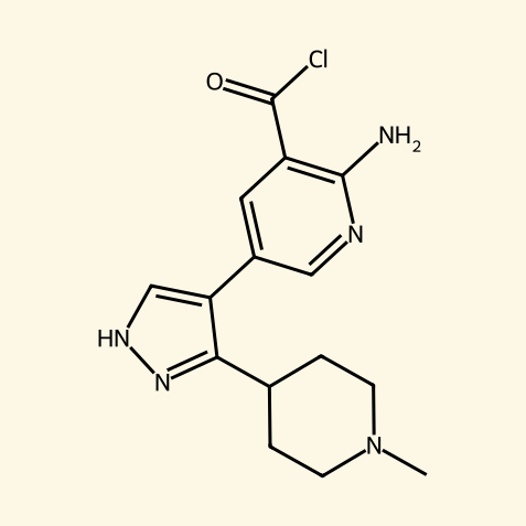 CN1CCC(c2n[nH]cc2-c2cnc(N)c(C(=O)Cl)c2)CC1